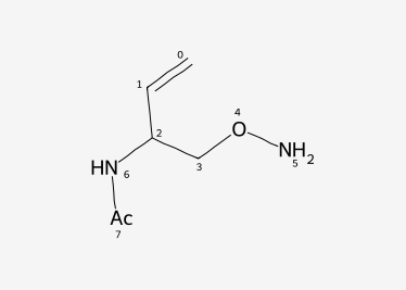 C=CC(CON)NC(C)=O